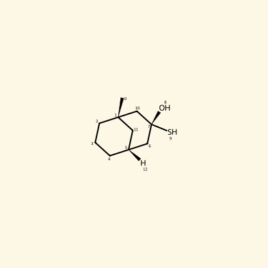 C[C@@]12CCC[C@@H](C[C@@](O)(S)C1)C2